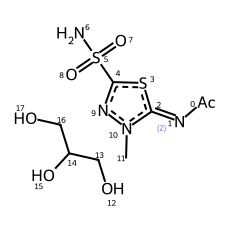 CC(=O)/N=c1\sc(S(N)(=O)=O)nn1C.OCC(O)CO